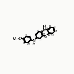 COc1ccc(NC2C=CC3=C(C2)Sc2ccccc2N3)cc1